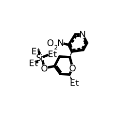 CC[C@@H]1C=C(O[Si](CC)(CC)CC)C[C@H](c2ccncc2[N+](=O)[O-])O1